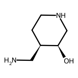 NC[C@H]1CCNC[C@H]1O